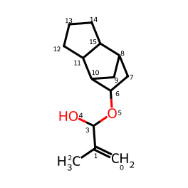 C=C(C)C(O)OC1CC2CC1C1CCCC21